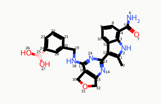 Cc1[nH]c2c(C(N)=O)cccc2c1-c1nc2c(c(NCc3cccc(B(O)O)c3)n1)COC2